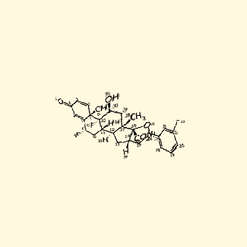 C[C@]12C=CC(=O)C=C1[C@@H](F)C[C@H]1[C@@H]3C[C@H]4CN(c5cccc(F)c5)O[C@@]4(C(=O)O)[C@@]3(C)C[C@H](O)[C@@]12F